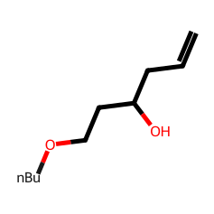 C=CCC(O)CCOCCCC